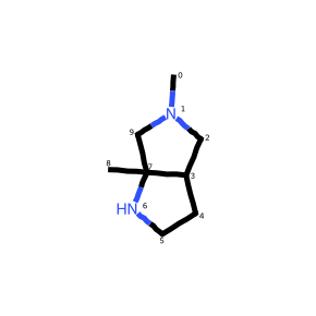 CN1CC2CCNC2(C)C1